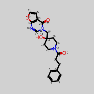 O=C(CCc1ccccc1)N1CCC(O)(Cn2cnc3occc3c2=O)CC1